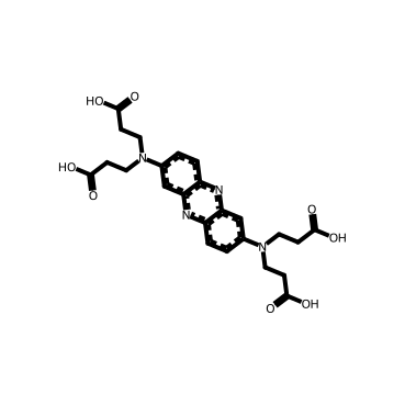 O=C(O)CCN(CCC(=O)O)c1ccc2nc3cc(N(CCC(=O)O)CCC(=O)O)ccc3nc2c1